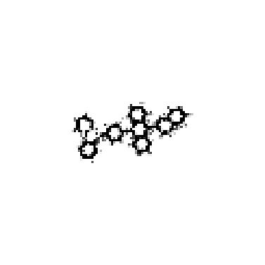 C1=CB2N(C=C1)c1ccccc1N2c1ccc(-c2c3ccccc3c(-c3ccc4ccccc4c3)c3ccccc23)cc1